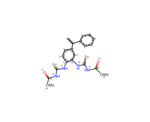 C=C(c1ccccc1)c1ccc(NC(=S)NC(=O)OC)c(NC(=S)NC(=O)OC)c1